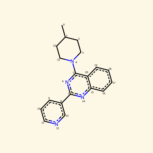 CC1CCN(c2nc(-c3cccnc3)nc3ccccc23)CC1